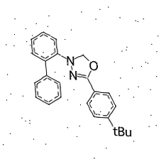 CC(C)(C)c1ccc(C2=NN(c3ccccc3-c3ccccc3)CO2)cc1